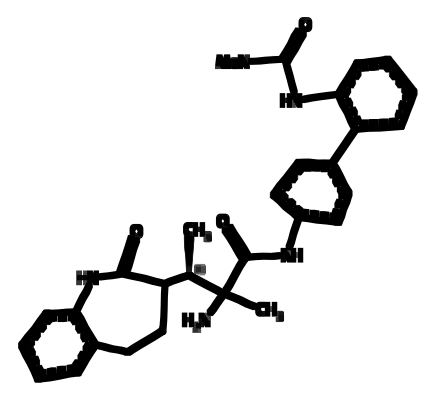 CNC(=O)Nc1ccccc1-c1ccc(NC(=O)C(C)(N)[C@H](C)C2CCc3ccccc3NC2=O)cc1